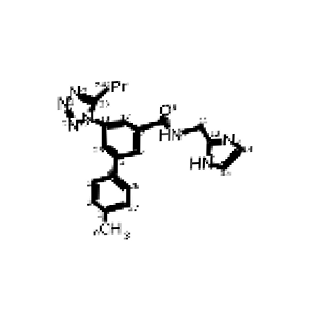 Cc1ccc(-c2cc(C(=O)NCc3ncc[nH]3)cc(-n3nnnc3C(C)C)c2)cc1